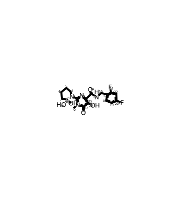 Cn1c(N2CCCCS2(O)O)nc(C(=O)NCc2ccc(F)cc2F)c(O)c1=O